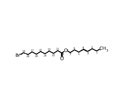 CCCCCCCCOC(=O)CCCCCCCCCBr